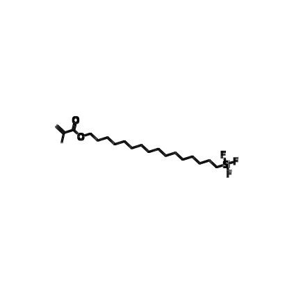 C=C(C)C(=O)OCCCCCCCCCCCCCCCC[Si](F)(F)F